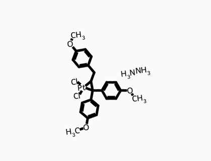 COc1ccc(C[CH]2[C](c3ccc(OC)cc3)(c3ccc(OC)cc3)[Pt]2([Cl])[Cl])cc1.N.N